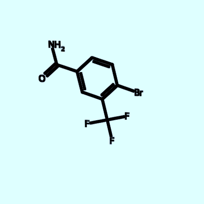 NC(=O)c1ccc(Br)c(C(F)(F)F)c1